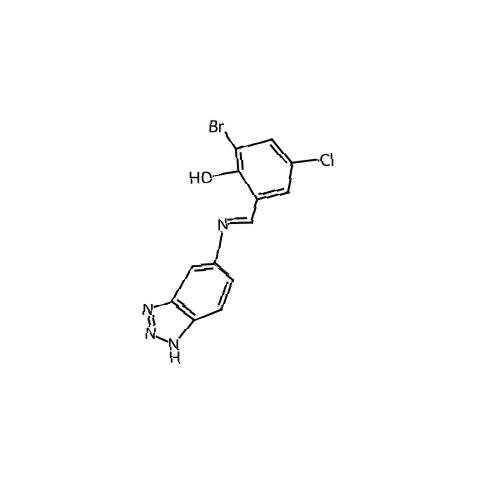 Oc1c(Br)cc(Cl)cc1/C=N/c1ccc2[nH]nnc2c1